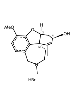 Br.COc1ccc2c3c1O[C@H]1C[C@@H](O)C=C(C)[C@@]31CCN(C)C2